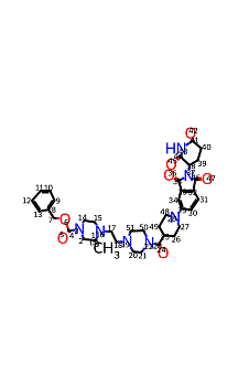 C[C@H]1CN(C(=O)OCc2ccccc2)CCN1CCN1CCN(C(=O)C2CCN(c3ccc4c(c3)C(=O)N(C3CCC(=O)NC3=O)C4=O)CC2)CC1